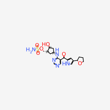 NS(=O)(=O)OC[C@H]1C[C@@H](Nc2ncncc2C(=O)c2cc(C3CCCO3)c[nH]2)C[C@@H]1O